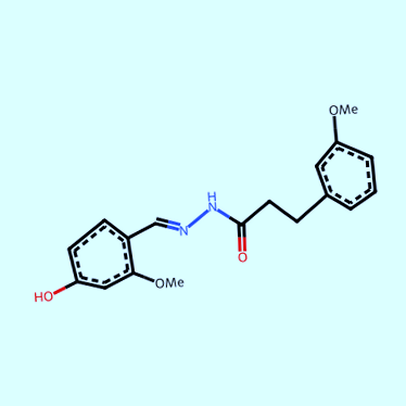 COc1cccc(CCC(=O)NN=Cc2ccc(O)cc2OC)c1